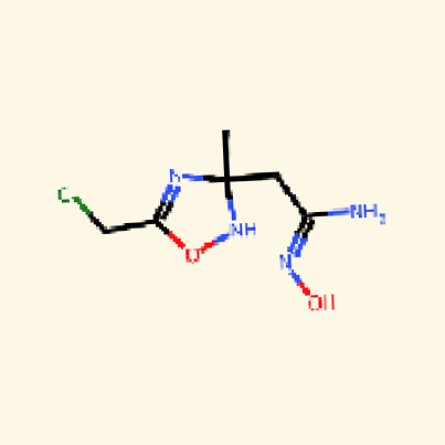 CC1(CC(N)=NO)N=C(CCl)ON1